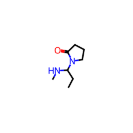 CCC(NC)N1CCCC1=O